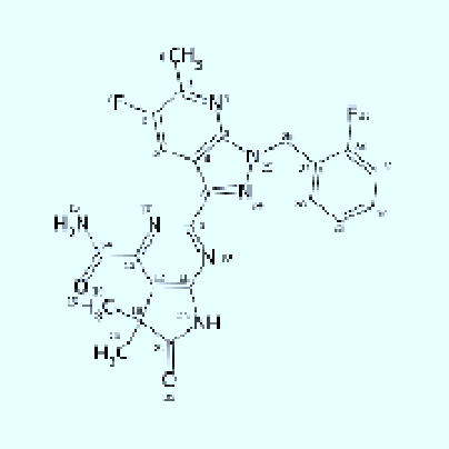 Cc1nc2c(cc1F)c(-c1nc3c(c(C(N)=O)n1)C(C)(C)C(=O)N3)nn2Cc1ccccc1F